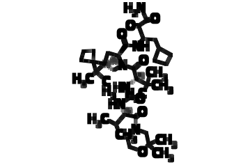 CC(C)[C@H](NC(=O)N[C@H](C(=O)N1C[C@]2(C[C@H]1C(=O)NC(CC1CCC1)C(=O)C(N)=O)C(C)(C)C21CCC1)C(C)(C)C)C(=O)N1CCOC(C)(C)C1